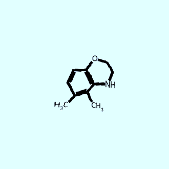 Cc1ccc2c(c1C)NCCO2